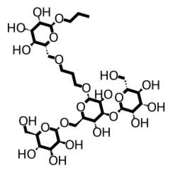 CCCO[C@H]1O[C@H](COCCCO[C@H]2O[C@H](CO[C@H]3O[C@H](CO)[C@@H](O)[C@H](O)[C@@H]3O)[C@@H](O)[C@H](O[C@H]3O[C@H](CO)[C@@H](O)[C@H](O)[C@@H]3O)[C@@H]2O)[C@@H](O)[C@H](O)[C@@H]1O